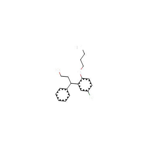 CCCCOc1ccc(Br)cc1C(CCO)c1ccccc1